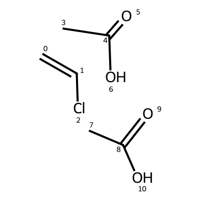 C=CCl.CC(=O)O.CC(=O)O